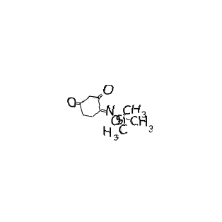 C[Si](C)(C)ON=C1CCC(=O)CC1=O